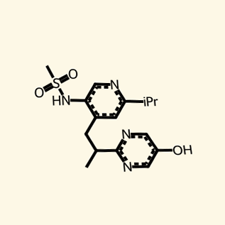 CC(C)c1cc(CC(C)c2ncc(O)cn2)c(NS(C)(=O)=O)cn1